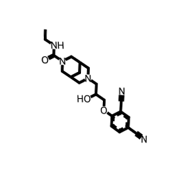 CCNC(=O)N1CC2CC(CN(CC(O)COc3ccc(C#N)cc3C#N)C2)C1